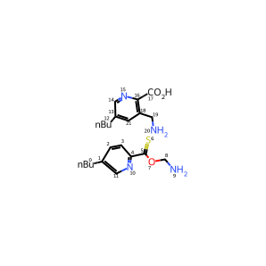 CCCCc1ccc(C(=S)OCN)nc1.CCCCc1cnc(C(=O)O)c(CN)c1